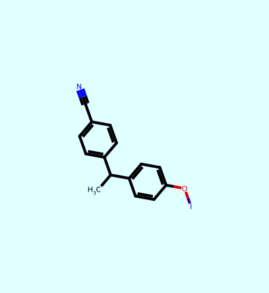 CC(c1ccc(C#N)cc1)c1ccc(OI)cc1